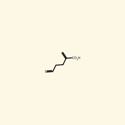 C=C(CCC=S)C(=O)O